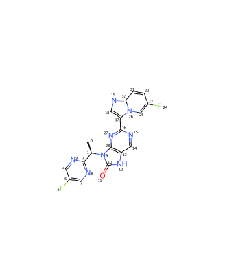 C[C@H](c1ncc(F)cn1)n1c(=O)[nH]c2cnc(-c3cnc4ccc(F)cn34)nc21